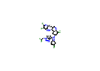 BC(Nc1cc(Cl)c2ncc(C#N)c(Nc3cnc(F)c(F)c3)c2c1)(c1ccc(F)cc1)c1cn(CC(F)F)nn1